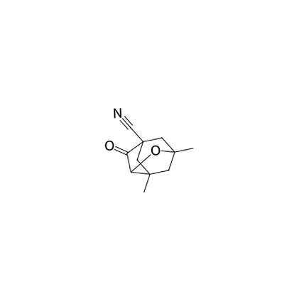 CC12CC3(C#N)CC(C)(C1)C(O2)C3=O